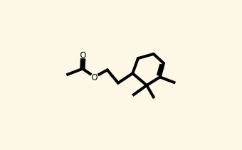 CC(=O)OCCC1CCC=C(C)C1(C)C